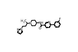 CC(CCn1cccn1)N1CCC(NC(=O)c2ccc(-c3cccc(F)c3)nc2)CC1